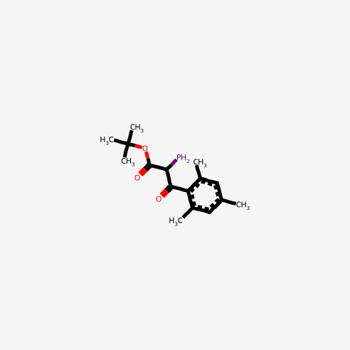 Cc1cc(C)c(C(=O)C(P)C(=O)OC(C)(C)C)c(C)c1